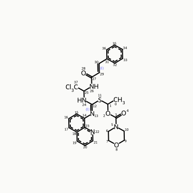 CC(OC(=O)N1CCOCC1)S/C(=N/c1cccc2cccnc12)NC(NC(=O)/C=C/c1ccccc1)C(Cl)(Cl)Cl